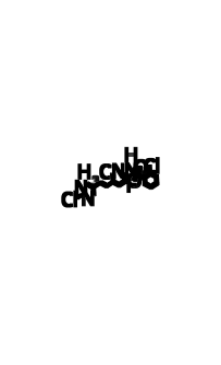 Cc1nc(NS(=O)(=O)c2ccccc2Cl)c(F)cc1/C=C/c1cnc(Cl)nc1